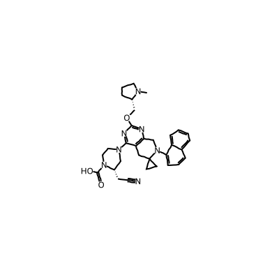 CN1CCC[C@H]1COc1nc2c(c(N3CCN(C(=O)O)[C@@H](CC#N)C3)n1)CC1(CC1)N(c1cccc3ccccc13)C2